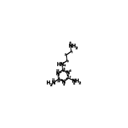 NCCCNc1nc(N)nc(N)n1